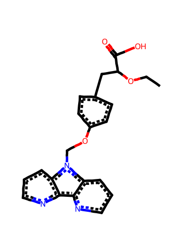 CCOC(Cc1ccc(OCn2c3cccnc3c3ncccc32)cc1)C(=O)O